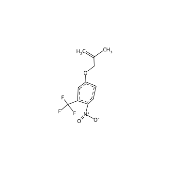 C=C(C)COc1ccc([N+](=O)[O-])c(C(F)(F)F)c1